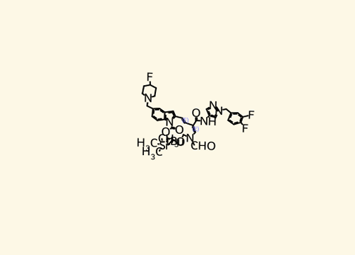 CC(C)(C)OC(=O)n1c(/C=C/C(=C\N(C=O)COCC[Si](C)(C)C)C(=O)Nc2cnn(Cc3ccc(F)c(F)c3)c2)cc2cc(CN3CCC(F)CC3)ccc21